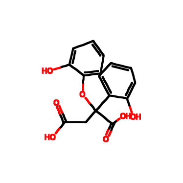 O=C(O)CC(Oc1ccccc1O)(C(=O)O)c1ccccc1O